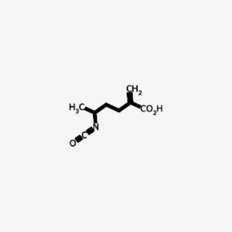 C=C(CCC(C)N=C=O)C(=O)O